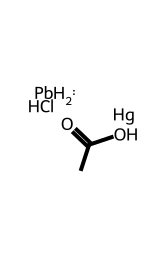 CC(=O)O.Cl.[Hg].[PbH2]